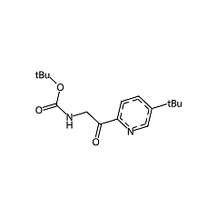 CC(C)(C)OC(=O)NCC(=O)c1ccc(C(C)(C)C)cn1